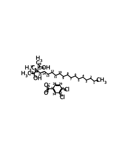 CCCCCCCCCCCCCCCC[N+](C)(C(C)O)C(C)O.O=C([O-])c1ccc(Cl)c(Cl)c1